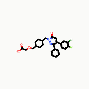 O=C(O)COCC1CCC(Cn2nc(-c3ccccc3)c(-c3ccc(F)c(Cl)c3)cc2=O)CC1